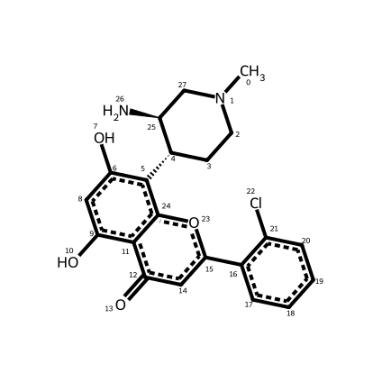 CN1CC[C@H](c2c(O)cc(O)c3c(=O)cc(-c4ccccc4Cl)oc23)[C@@H](N)C1